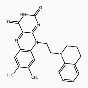 Cc1cc2nc3c(=O)[nH]c(=O)nc-3n(CCN3CCCc4ccccc43)c2cc1C